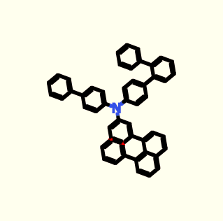 c1ccc(-c2ccc(N(c3ccc(-c4ccccc4-c4ccccc4)cc3)c3cccc(-c4cccc5cccc(-c6ccccc6)c45)c3)cc2)cc1